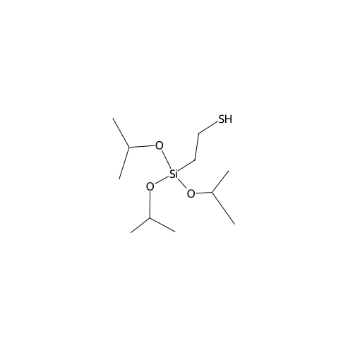 CC(C)O[Si](CCS)(OC(C)C)OC(C)C